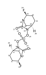 O=C1N2C[C@@H](CC[C@@H]2F)N1OS(=O)(=O)ON1C(=O)N2C[C@H]1CC[C@@H]2F